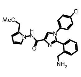 COCc1cccn1NC(=O)c1cn(-c2ccc(Cl)cc2)c(-c2ccccc2CN)n1